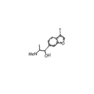 CNC(C)C(O)c1ccc2c(F)coc2c1